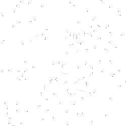 Cc1cc2nc(-c3ccc4c(c3)c(C3CCN(C(=O)C5CCC5)CC3)nn4C)sc2c(-c2ccc(Cl)cc2)c1[C@H](OC(C)(C)C)C(=O)O